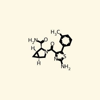 Cc1cccc(-c2sc(N)nc2C(=O)N2C[C@H]3C[C@H]3[C@H]2C(N)=O)c1